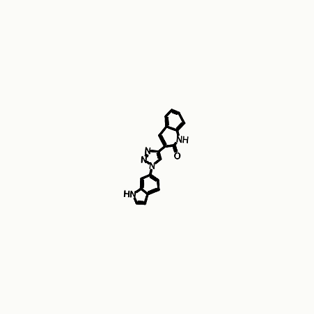 O=c1[nH]c2ccccc2cc1-c1cn(-c2ccc3cc[nH]c3c2)nn1